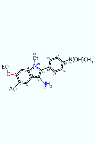 CCOc1cc2c(cc1C(C)=O)c(N)c(-c1ccc(N(C)O)cc1)n2CC